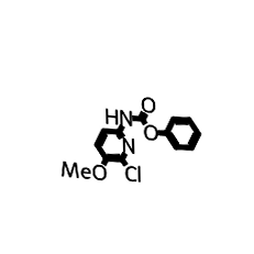 COc1ccc(NC(=O)Oc2ccccc2)nc1Cl